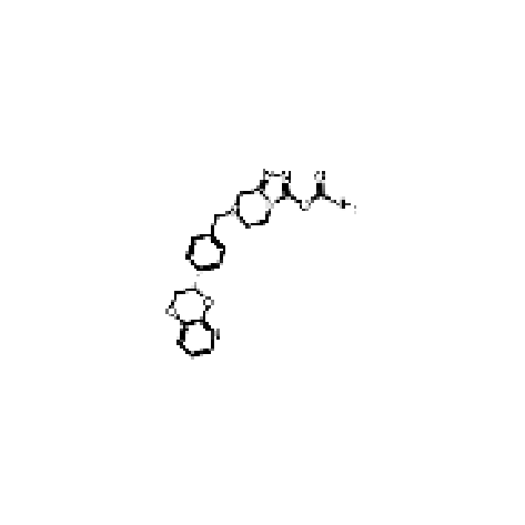 NC(=O)Oc1nnc2n1CCN(Cc1ccc([C@H]3COc4cccnc4O3)cc1)C2